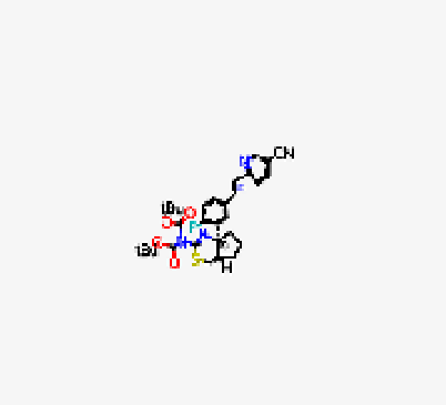 CC(C)(C)OC(=O)N(C(=O)OC(C)(C)C)C1=N[C@@]2(c3cc(/C=C/c4ccc(C#N)cn4)ccc3F)CCC[C@H]2CS1